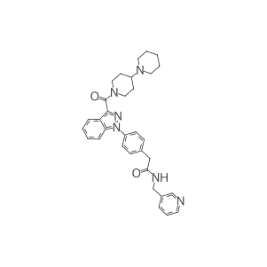 O=C(Cc1ccc(-n2nc(C(=O)N3CCC(N4CCCCC4)CC3)c3ccccc32)cc1)NCc1cccnc1